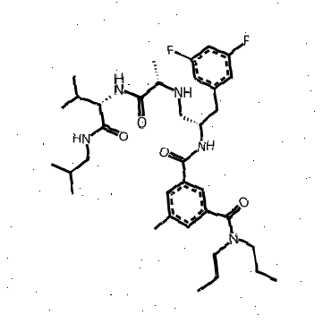 CCCN(CCC)C(=O)c1cc(C)cc(C(=O)N[C@H](CN[C@@H](C)C(=O)N[C@H](C(=O)NCC(C)C)C(C)C)Cc2cc(F)cc(F)c2)c1